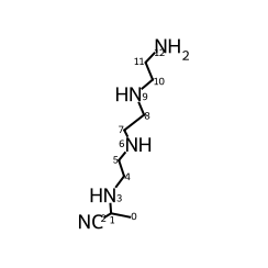 CC(C#N)NCCNCCNCCN